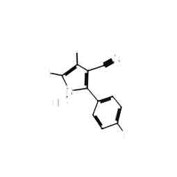 N#Cc1c(Cl)c(Cl)n(O)c1-c1ccc(Cl)cc1